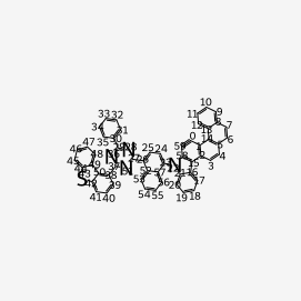 c1c2c(ccc3ccc4ccccc4c32)c2c3ccccc3n(-c3ccc(-c4nc(-c5ccccc5)nc(-c5cccc6sc7ccccc7c56)n4)c4ccccc34)c2c#1